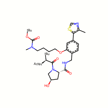 CC(=O)N[C@H](C(=O)N1C[C@H](O)C[C@H]1C(=O)NCc1ccc(-c2scnc2C)cc1OCCCCN(C)C(=O)OC(C)(C)C)C(C)(C)C